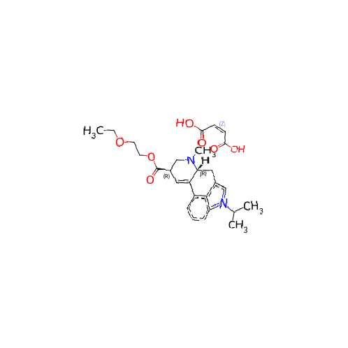 CCOCCOC(=O)[C@@H]1C=C2c3cccc4c3c(cn4C(C)C)C[C@H]2N(C)C1.O=C(O)/C=C\C(=O)O